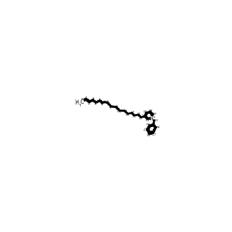 CCCCCCCCCCCCCCCCCc1ccc[n+](Cc2ccccc2)c1